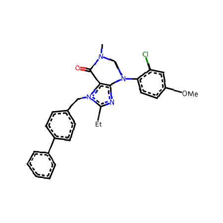 CCc1nc2c(n1Cc1ccc(-c3ccccc3)cc1)C(=O)N(C)CN2c1ccc(OC)cc1Cl